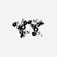 C=CC(=O)N1CCN(c2nc(OC[C@@H]3CC(c4cc(F)c(C(F)(F)F)c(N5CCCc6c(nc(OC[C@@H]7CCCN7C)nc6N6CCN(C(=O)C=C)[C@@H](CC#N)C6)C5)c4)CN3C)nc3c2CCCN(c2ccccc2C(F)(F)F)C3)C[C@@H]1CC#N